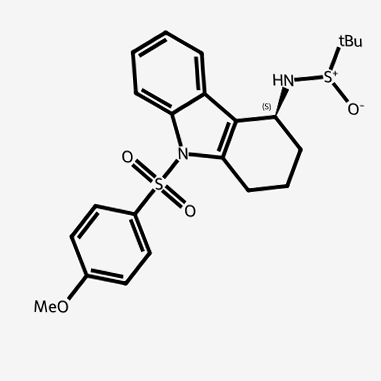 COc1ccc(S(=O)(=O)n2c3c(c4ccccc42)[C@@H](N[S+]([O-])C(C)(C)C)CCC3)cc1